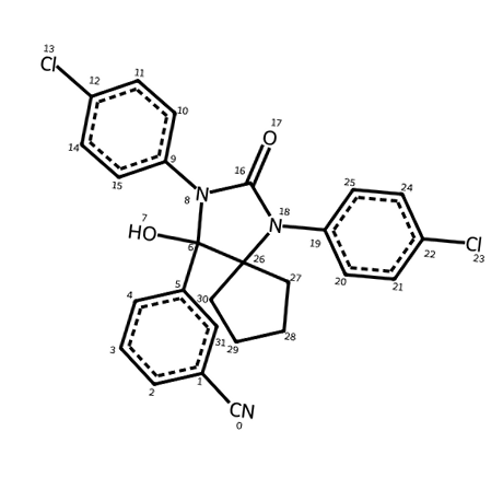 N#Cc1cccc(C2(O)N(c3ccc(Cl)cc3)C(=O)N(c3ccc(Cl)cc3)C23CCCC3)c1